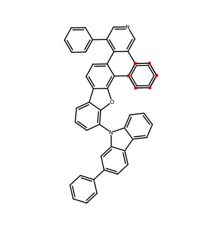 c1ccc(-c2ccc3c4ccccc4n(-c4cccc5c4oc4c(-c6ccccc6)c(-c6c(-c7ccccc7)cncc6-c6ccccc6)ccc45)c3c2)cc1